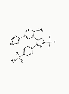 Cc1ccc(-c2cn[nH]c2)cc1-c1cc(C(F)(F)F)nn1-c1ccc(S(N)(=O)=O)cc1